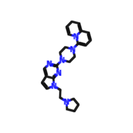 C1=CC2=CCC=CN2C(N2CCN(c3ncc4ccn(CCN5CCCC5)c4n3)CC2)=C1